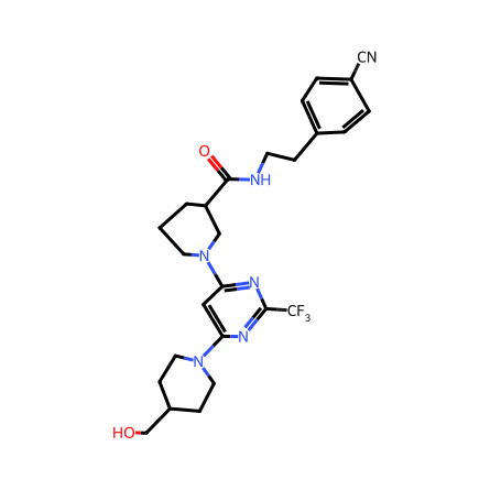 N#Cc1ccc(CCNC(=O)C2CCCN(c3cc(N4CCC(CO)CC4)nc(C(F)(F)F)n3)C2)cc1